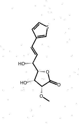 CO[C@H]1C(=O)O[C@@H]([C@H](O)/C=C/c2ccsc2)[C@H]1O